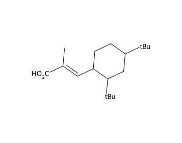 CC(=CC1CCC(C(C)(C)C)CC1C(C)(C)C)C(=O)O